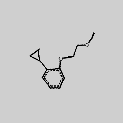 COCCOc1ccc[c]c1C1CC1